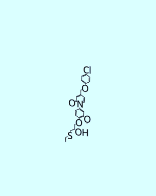 CCSCC(O)COc1ccc(-n2ccc(COc3ccc(Cl)cc3)cc2=O)cc1OC